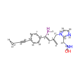 C=C(/C=C(\PC)c1ccc(C#CC2CC2)cc1)Cn1ccnc1CNO